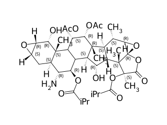 CC(=O)O[C@H]1C2C([C@@H](OC(=O)C(C)C)[C@H](N)[C@H]3C[C@@H]4O[C@@H]4[C@H](O)[C@]23C)[C@@H]2[C@@H](O)[C@@H]3[C@H]([C@H](C)[C@H]4O[C@]45OC(=O)[C@@](C)(OC(=O)C(C)C)[C@]35C)[C@@]2(C)[C@H]1OC(C)=O